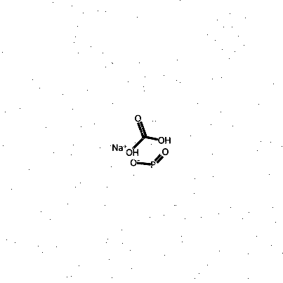 O=C(O)O.O=P[O-].[Na+]